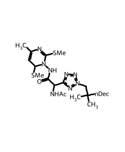 CCCCCCCCCCC(C)(C)Cn1nnc(C(NC(C)=O)C(=O)NN2C(SC)=NC(C)=CC2SC)n1